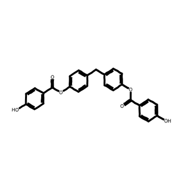 O=C(Oc1ccc(Cc2ccc(OC(=O)c3ccc(O)cc3)cc2)cc1)c1ccc(O)cc1